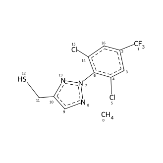 C.FC(F)(F)c1cc(Cl)c(-n2ncc(CS)n2)c(Cl)c1